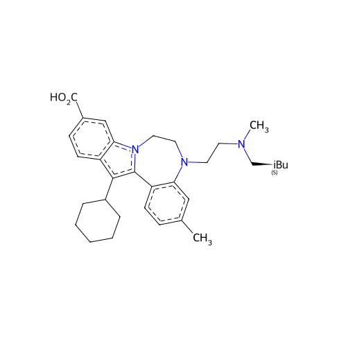 CC[C@H](C)CN(C)CCN1CCn2c(c(C3CCCCC3)c3ccc(C(=O)O)cc32)-c2ccc(C)cc21